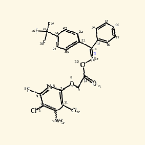 Nc1c(Cl)c(F)nc(OCC(=O)O/N=C(/c2ccccc2)c2ccc(C(F)(F)F)cc2)c1Cl